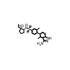 CC[C@@]1(O)CCC[C@@H]1NS(=O)(=O)c1ccc(-c2ccc3[nH]nc(N)c3c2C)c(C)c1